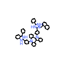 C1=CC2=C(c3ccccc3)NC(c3cccc(N4C5=C(C=CCC5)c5c(c6ccccc6n5-c5ccc(C6NC(c7ccccc7)NN6Cc6cccc7ccccc67)cc5)-c5ccccc54)c3)NC2C=C1